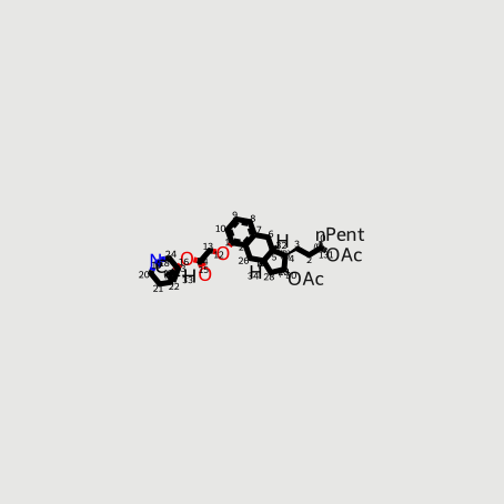 CCCCC[C@H](CC[C@@H]1[C@H]2Cc3cccc(OCC(=O)O[C@@H]4CN5CCC4CC5)c3C[C@H]2C[C@H]1OC(C)=O)OC(C)=O